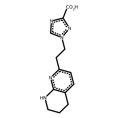 O=C(O)c1ncn(CCc2ccc3c(n2)NCCC3)n1